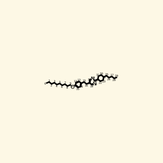 CCCCCCCCCCOc1ccc(CCc2cnc(C3CCC(CCCCC)CC3)nc2)cc1